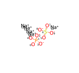 O=P([O-])([O-])[O-].O=S(=O)([O-])[O-].[Na+].[Na+].[Na+].[Na+].[Na+]